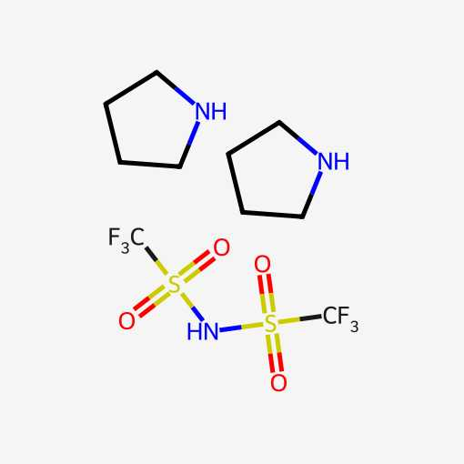 C1CCNC1.C1CCNC1.O=S(=O)(NS(=O)(=O)C(F)(F)F)C(F)(F)F